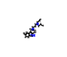 CCCN(CCC)CCCN1CCc2[nH]c3ccc(C)cc3c2C1